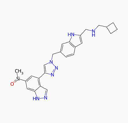 C[Si](=O)c1cc(-c2cn(Cc3ccc4cc(CNCC5CCC5)[nH]c4c3)nn2)c2cn[nH]c2c1